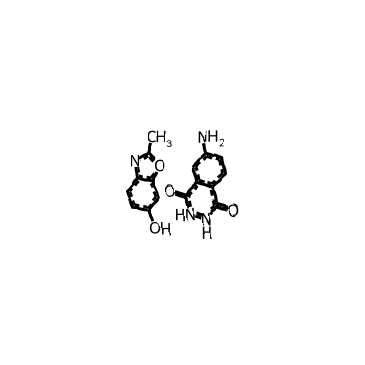 Cc1nc2ccc(O)cc2o1.Nc1ccc2c(=O)[nH][nH]c(=O)c2c1